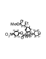 CCCN(c1ccc(C(CC)CC(=O)OC)cc1NC(=O)Oc1ccc([N+](=O)[O-])cc1)C1CCOCC1